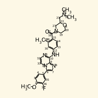 COc1ccc(-c2cnc3c(Nc4ccc(C(=O)N5CCOC(CN(C)C)C5)c(C)c4)nccn23)cc1F